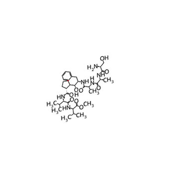 COC(=O)C(NC(=O)[C@H](NC(=O)[C@@H]1CCCC1C(O)C(Cc1ccccc1)NC(=O)[C@H](C)NC(=O)[C@H](C)NC(=O)[C@@H](N)CO)C(C)C)C(C)C